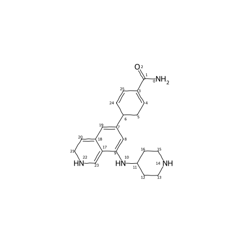 NC(=O)C1=CCC(c2cc(NC3CCNCC3)c3c(c2)=CCNC=3)C=C1